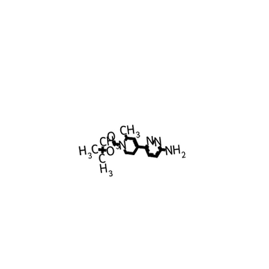 CC1C=C(c2ccc(N)nn2)CCN1C(=O)OC(C)(C)C